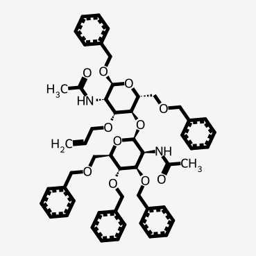 C=CCO[C@@H]1[C@H](NC(C)=O)[C@@H](OCc2ccccc2)O[C@H](COCc2ccccc2)[C@H]1O[C@@H]1O[C@H](COCc2ccccc2)[C@@H](OCc2ccccc2)[C@H](OCc2ccccc2)[C@@H]1NC(C)=O